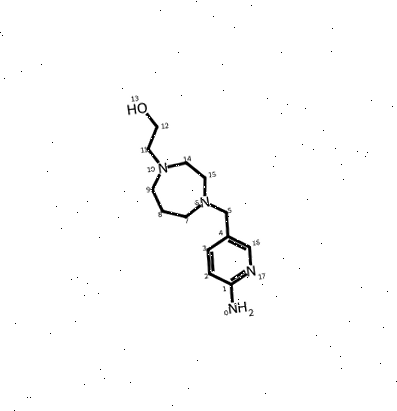 Nc1ccc(CN2CCCN(CCO)CC2)cn1